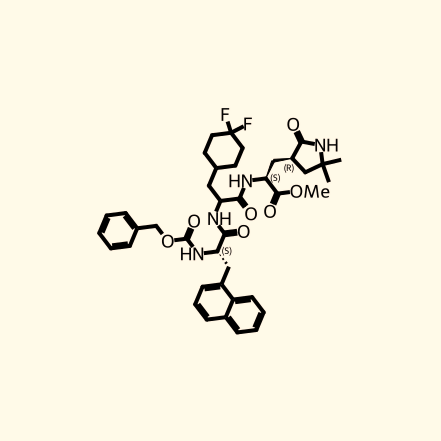 COC(=O)[C@H](C[C@@H]1CC(C)(C)NC1=O)NC(=O)C(CC1CCC(F)(F)CC1)NC(=O)[C@H](Cc1cccc2ccccc12)NC(=O)OCc1ccccc1